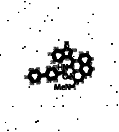 CNC[C@H](Cc1ccc2ccccc2c1)N(C)C[C@H](Cc1cn(C)c2ccccc12)NC(=O)c1ccc(-c2ccccc2)cc1